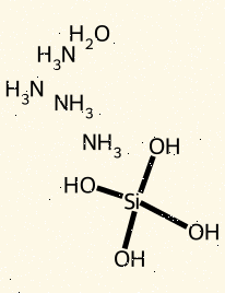 N.N.N.N.O.O[Si](O)(O)O